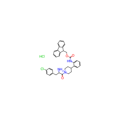 Cl.N[C@H](Cc1ccc(Cl)cc1)C(=O)N1CCC(c2ccccc2NC(=O)OCC2c3ccccc3-c3ccccc32)CC1